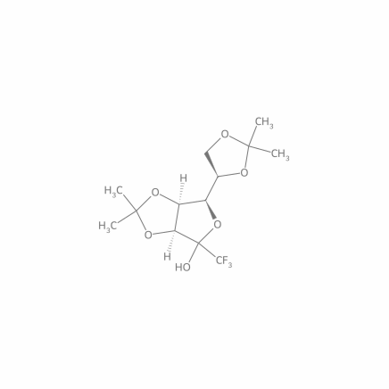 CC1(C)OC[C@H]([C@H]2OC(O)(C(F)(F)F)[C@H]3OC(C)(C)O[C@@H]23)O1